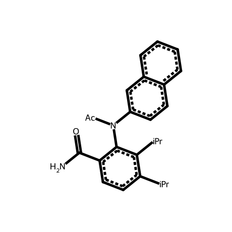 CC(=O)N(c1ccc2ccccc2c1)c1c(C(N)=O)ccc(C(C)C)c1C(C)C